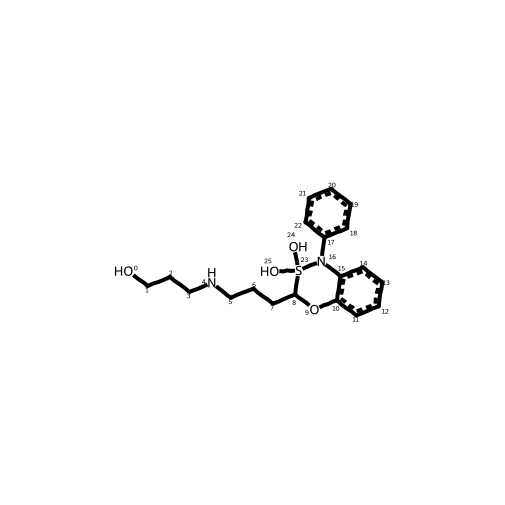 OCCCNCCCC1Oc2ccccc2N(c2ccccc2)S1(O)O